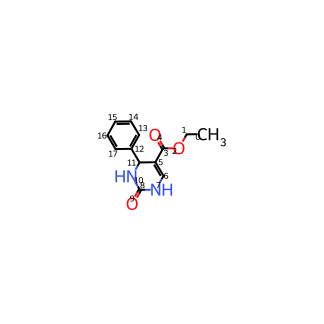 CCOC(=O)C1=CNC(=O)NC1c1ccccc1